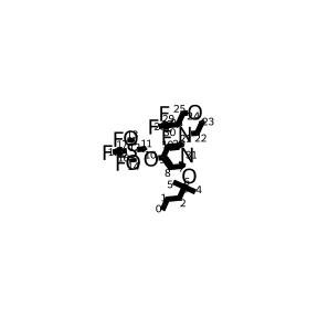 CCCC(C)(C)Oc1cc(OCS(=O)(=O)C(F)(F)F)cc(N2CCOCC2C(F)(F)F)n1